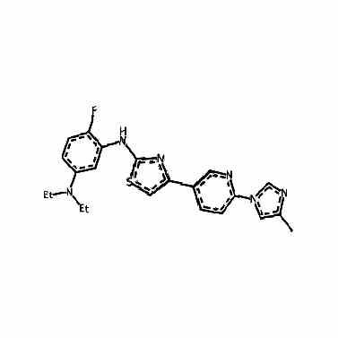 CCN(CC)c1ccc(F)c(Nc2nc(-c3ccc(-n4cnc(C)c4)nc3)cs2)c1